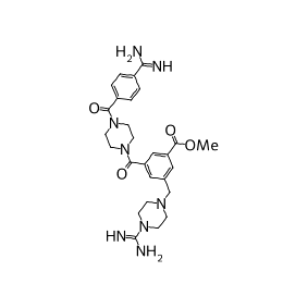 COC(=O)c1cc(CN2CCN(C(=N)N)CC2)cc(C(=O)N2CCN(C(=O)c3ccc(C(=N)N)cc3)CC2)c1